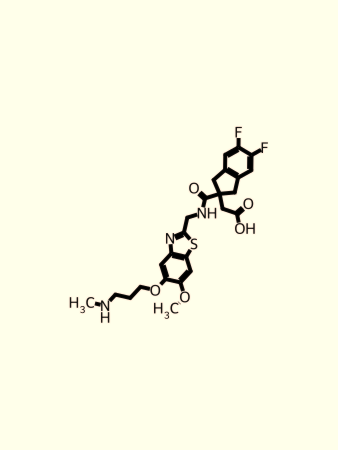 CNCCCOc1cc2nc(CNC(=O)C3(CC(=O)O)Cc4cc(F)c(F)cc4C3)sc2cc1OC